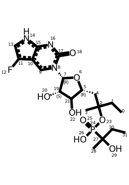 CCC(C)(C[C@H]1O[C@@H](n2cc3c(F)c[nH]c3nc2=O)[C@@H](O)C1O)OP(=O)(O)C(C)(O)CC